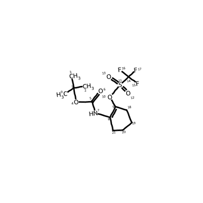 CC(C)(C)OC(=O)NC1=C(OS(=O)(=O)C(F)(F)F)CCCC1